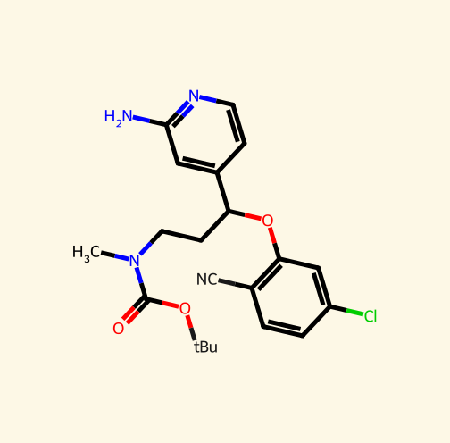 CN(CCC(Oc1cc(Cl)ccc1C#N)c1ccnc(N)c1)C(=O)OC(C)(C)C